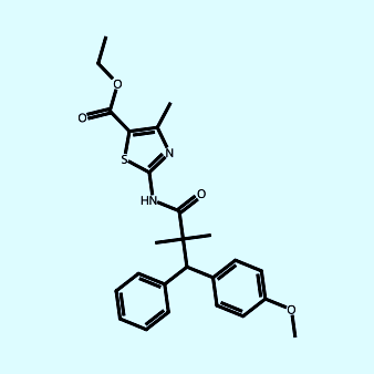 CCOC(=O)c1sc(NC(=O)C(C)(C)C(c2ccccc2)c2ccc(OC)cc2)nc1C